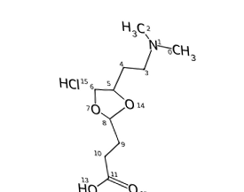 CN(C)CCC1COC(CCC(=O)O)O1.Cl